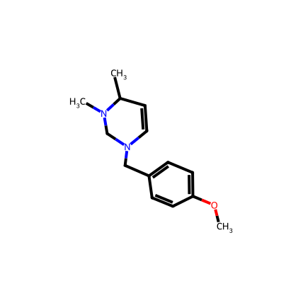 COc1ccc(CN2C=CC(C)N(C)C2)cc1